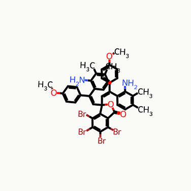 COc1ccc(C(=CC2(C=C(c3ccc(OC)cc3)c3ccc(C)c(C)c3N)OC(=O)c3c(Br)c(Br)c(Br)c(Br)c32)c2ccc(C)c(C)c2N)cc1